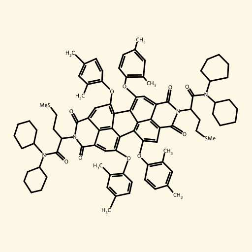 CSCCC(C(=O)N(C1CCCCC1)C1CCCCC1)N1C(=O)c2cc(Oc3ccc(C)cc3C)c3c4c(Oc5ccc(C)cc5C)cc5c6c(cc(Oc7ccc(C)cc7C)c(c7c(Oc8ccc(C)cc8C)cc(c2c37)C1=O)c64)C(=O)N(C(CCSC)C(=O)N(C1CCCCC1)C1CCCCC1)C5=O